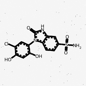 NS(=O)(=O)c1ccc2c(c1)[nH]c(=O)n2-c1cc(Cl)c(O)cc1O